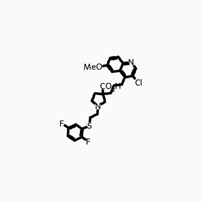 COc1ccc2ncc(Cl)c(CCCC3(C(=O)O)CCN(CCSc4cc(F)ccc4F)C3)c2c1